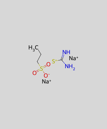 CCCS(=O)(=O)[O-].N=C(N)[S-].[Na+].[Na+]